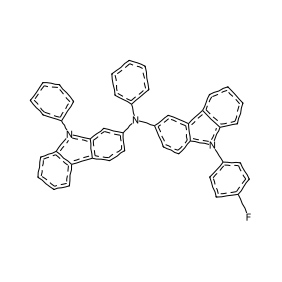 Fc1ccc(-n2c3ccccc3c3cc(N(c4ccccc4)c4ccc5c6ccccc6n(-c6ccccc6)c5c4)ccc32)cc1